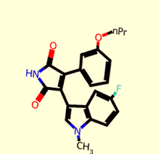 CCCOc1cccc(C2=C(c3cn(C)c4ccc(F)cc34)C(=O)NC2=O)c1